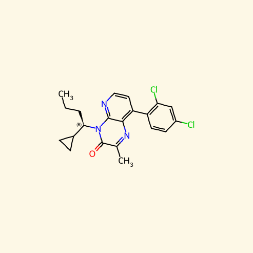 CCC[C@H](C1CC1)n1c(=O)c(C)nc2c(-c3ccc(Cl)cc3Cl)ccnc21